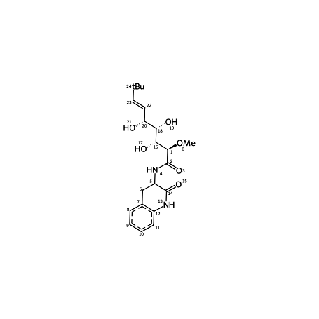 CO[C@@H](C(=O)NC1Cc2ccccc2NC1=O)[C@H](O)[C@@H](O)[C@H](O)C=CC(C)(C)C